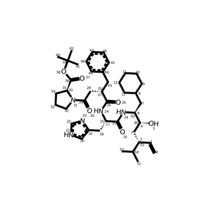 C=C[C@@H](C[C@@H](O)[C@H](CC1CCCCC1)NC(=O)[C@H](Cc1c[nH]cn1)NC(=O)[C@H](CC(=O)N1CCC[C@H]1C(=O)OC(C)(C)C)Cc1ccccc1)C(C)C